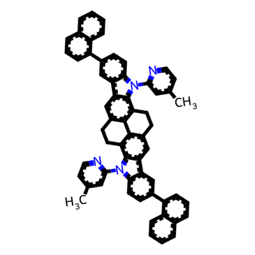 Cc1ccnc(-n2c3ccc(-c4cccc5ccccc45)cc3c3cc4c5c(c32)CCc2cc3c6cc(-c7cccc8ccccc78)ccc6n(-c6cc(C)ccn6)c3c(c2-5)CC4)c1